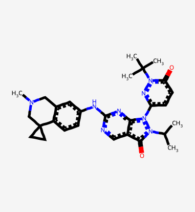 CC(C)n1c(=O)c2cnc(Nc3ccc4c(c3)CN(C)CC43CC3)nc2n1-c1ccc(=O)n(C(C)(C)C)n1